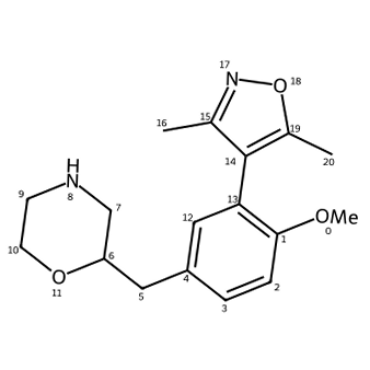 COc1ccc(CC2CNCCO2)cc1-c1c(C)noc1C